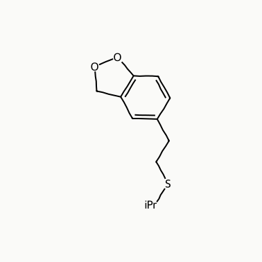 CC(C)SCCc1ccc2c(c1)COO2